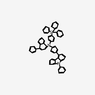 c1ccc(-c2ccc(N(c3ccc(-c4cccc5c4c4ccccc4n5-c4ccccc4)cc3)c3ccc([Si](c4ccccc4)(c4ccccc4)c4ccccc4)cc3)c3ccccc23)cc1